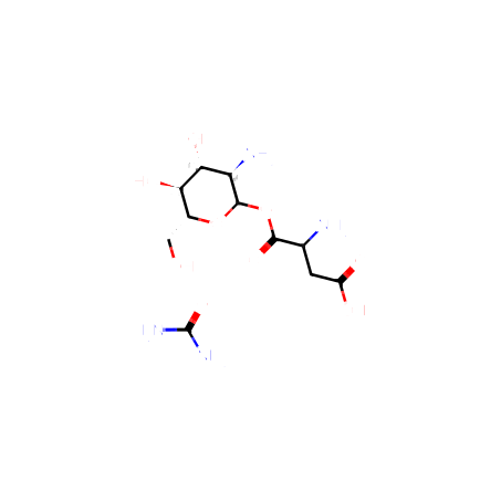 NC(CC(=O)O)C(=O)OC1O[C@H](CO)[C@@H](O)[C@H](O)[C@H]1N.NC(N)=O